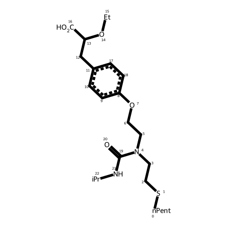 CCCCCSCCN(CCOc1ccc(CC(OCC)C(=O)O)cc1)C(=O)NC(C)C